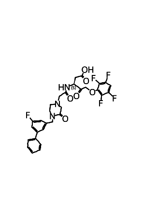 O=C(O)C[C@H](NC(=O)CN1CCN(Cc2cc(F)cc(-c3ccccc3)c2)C(=O)C1)C(=O)COc1c(F)c(F)cc(F)c1F